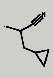 [CH2]C(C#N)CC1CC1